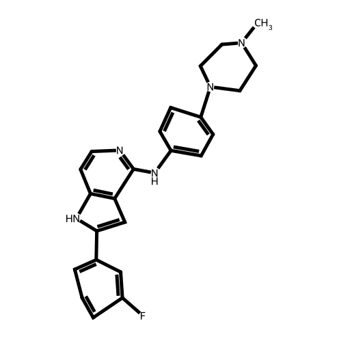 CN1CCN(c2ccc(Nc3nccc4[nH]c(-c5cccc(F)c5)cc34)cc2)CC1